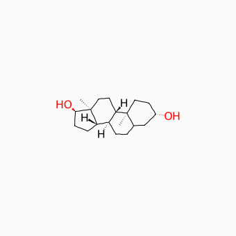 C[C@]12CC[C@H]3[C@@H](CCC4C[C@@H](O)CC[C@@]43C)[C@@H]1CC[C@H]2O